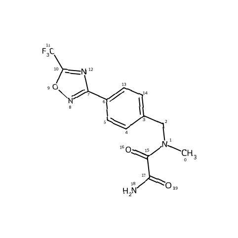 CN(Cc1ccc(-c2noc(C(F)(F)F)n2)cc1)C(=O)C(N)=O